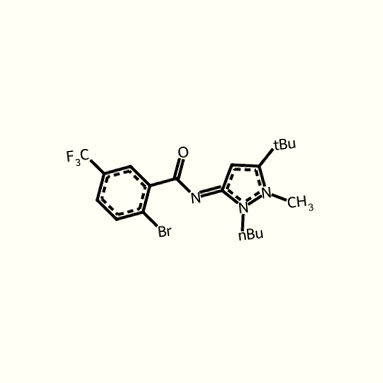 CCCCn1/c(=N/C(=O)c2cc(C(F)(F)F)ccc2Br)cc(C(C)(C)C)n1C